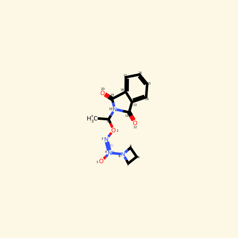 CC(O/N=[N+](/[O-])N1CCC1)N1C(=O)c2ccccc2C1=O